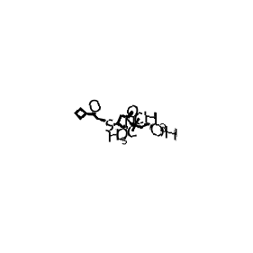 CC(C)(CCO)N1C(=O)CC(SCCC(=O)C2CCC2)C1=O